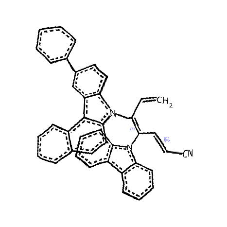 C=C/C(=C(\C=C\C#N)n1c2ccccc2c2ccccc21)n1c2ccc(-c3ccccc3)cc2c2c3ccccc3ccc21